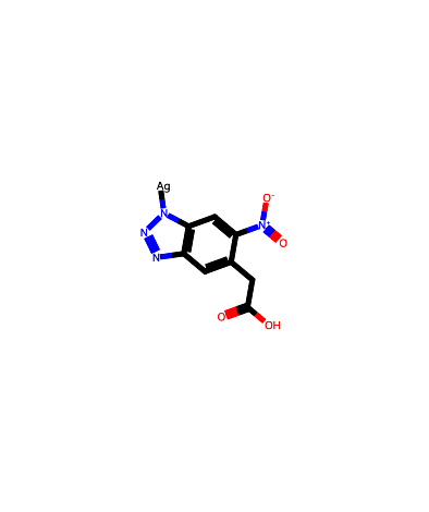 O=C(O)Cc1cc2nn[n]([Ag])c2cc1[N+](=O)[O-]